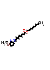 CCCCCCCCCOC(=O)CCCCCCCNC1CCCC(OC)C1